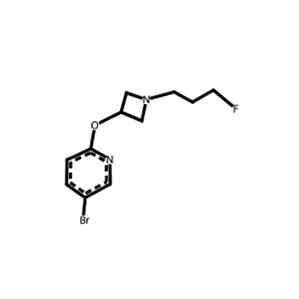 FCCCN1CC(Oc2ccc(Br)cn2)C1